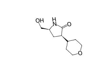 O=C1N[C@H](CO)C[C@@H]1C1CCOCC1